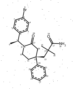 C[C@@H](c1ccc(Br)cc1)N1CC[C@@](CC(C)(C)C(N)=O)(c2ccccc2)CC1=O